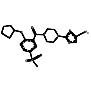 CS(=O)(=O)c1ccc(OC2CCCC2)c(C(=O)N2CCN(c3nc(C(F)(F)F)cs3)CC2)c1